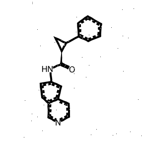 O=C(Nc1ccc2cnccc2c1)[C@H]1CC1c1ccccc1